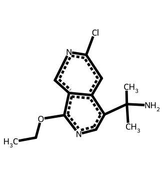 CCOc1ncc(C(C)(C)N)c2cc(Cl)ncc12